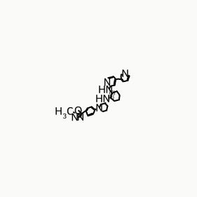 Cc1nnc(-c2ccc(N3CCCC(N[C@@H]4CCCC[C@H]4Nc4cc(-c5cccnc5)ccn4)C3)cc2)o1